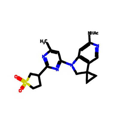 CC(=O)Nc1cc2c(cn1)C1(CC1)CN2c1cc(C)nc(C2CCS(=O)(=O)C2)n1